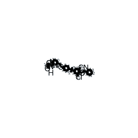 CC(C)(c1ccc(OCc2ccnc(NS(C)(=O)=O)n2)cc1)c1cc(Cl)c(OCc2ccccc2)c(C#N)c1